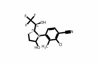 Cc1c(N2C(O)CC[C@@H]2[C@H](O)C(F)(F)F)ccc(C#N)c1Cl